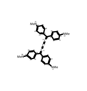 CNc1ccc(C(=C=C=C=C(c2ccc(NC)cc2)c2ccc(NC)cc2)c2ccc(NC)cc2)cc1